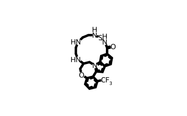 O=C1NSNCCNCCNC2COc3cccc(C(F)(F)F)c3-c3cc4ccc1cc4n3C2